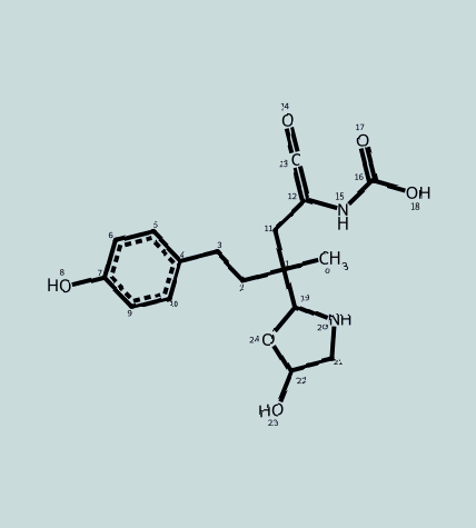 CC(CCc1ccc(O)cc1)(CC(=C=O)NC(=O)O)C1NCC(O)O1